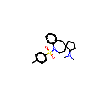 Cc1ccc(S(=O)(=O)N2CCC3(CCCC3N(C)C)Cc3ccccc32)cc1